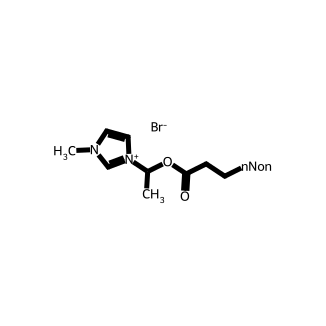 CCCCCCCCCCCC(=O)OC(C)[n+]1ccn(C)c1.[Br-]